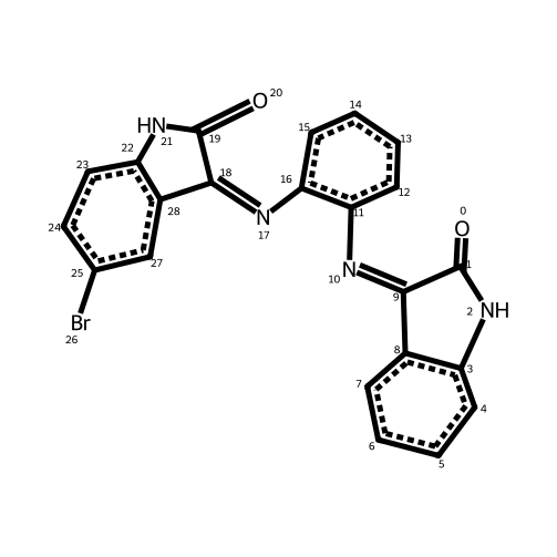 O=C1Nc2ccccc2/C1=N/c1ccccc1/N=C1\C(=O)Nc2ccc(Br)cc21